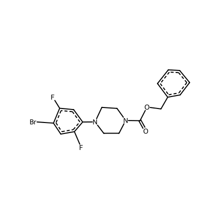 O=C(OCc1ccccc1)N1CCN(c2cc(F)c(Br)cc2F)CC1